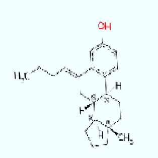 CCCC=C1C[C@@H]2[C@H](CC[C@]3(C)CCC[C@@H]23)c2ccc(O)cc21